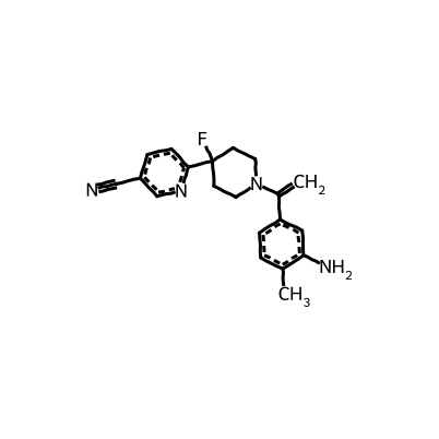 C=C(c1ccc(C)c(N)c1)N1CCC(F)(c2ccc(C#N)cn2)CC1